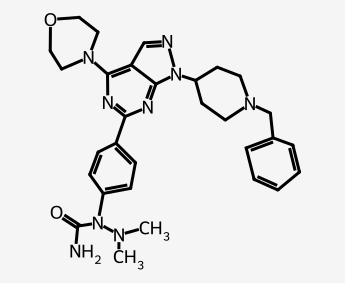 CN(C)N(C(N)=O)c1ccc(-c2nc(N3CCOCC3)c3cnn(C4CCN(Cc5ccccc5)CC4)c3n2)cc1